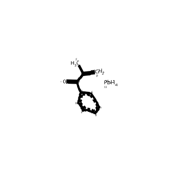 C=C(C)C(=O)c1ccccc1.[PbH4]